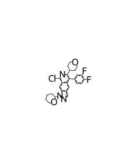 Fc1ccc(-c2c(C3CCOCC3)nc(Cl)c3cc4c(cnn4C4CCCCO4)cc23)cc1F